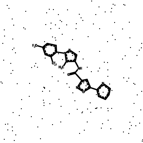 Cc1c(NC(=O)c2cc(-c3ccccn3)on2)cnn1-c1ccc(C(F)(F)F)cc1C(F)(F)F